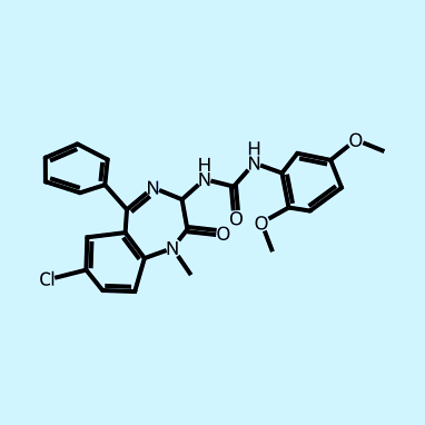 COc1ccc(OC)c(NC(=O)NC2N=C(c3ccccc3)c3cc(Cl)ccc3N(C)C2=O)c1